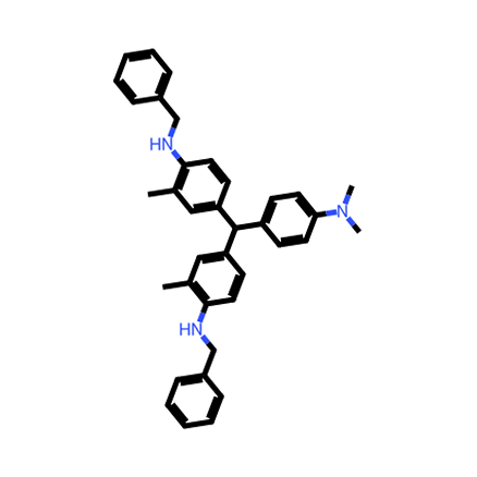 Cc1cc(C(c2ccc(N(C)C)cc2)c2ccc(NCc3ccccc3)c(C)c2)ccc1NCc1ccccc1